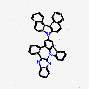 c1ccc2c(c1)-c1nc3ccccc3nc1-n1c3ccccc3c3cc(-n4c5ccc6ccccc6c5c5c6ccccc6ccc54)cc-2c31